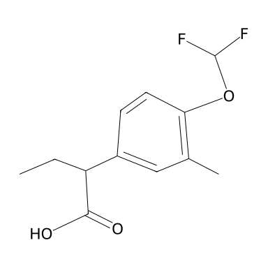 CCC(C(=O)O)c1ccc(OC(F)F)c(C)c1